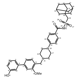 COc1cc(-c2cncc(O)c2)ccc1CN1CCN(c2ccc(C(=O)NS(=O)(=O)CC34CC5CC(CC(C5)C3)C4)cc2)CC1